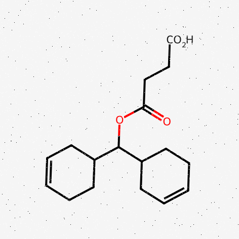 O=C(O)CCC(=O)OC(C1CC=CCC1)C1CC=CCC1